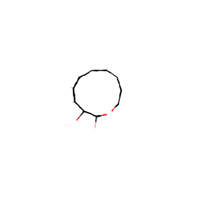 BC1OCCCCCCCCC1O